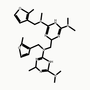 Cc1occc1CN(C)C1=NC(CN(Cc2ccoc2C)C2=NC(C)N=C(N(C)C)N2)N=C(N(C)C)N1